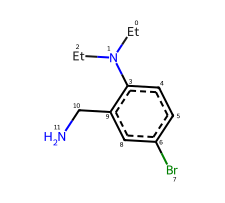 CCN(CC)c1ccc(Br)cc1CN